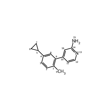 Cc1ccc(C2CC2)cc1-c1ccnc(N)c1